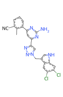 Cc1c(C#N)cccc1-c1cc(-c2cn(Cc3c[nH]c4cc(Cl)c(Cl)cc34)nn2)nc(N)n1